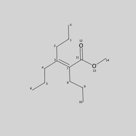 CCCC(CCC)=C(CCC)C(=O)OC